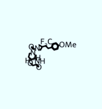 COc1ccc(CCC2CN(C(=O)N3CC[C@@H]4OCC(=O)N[C@@H]4C3)C2)c(C(F)(F)F)c1